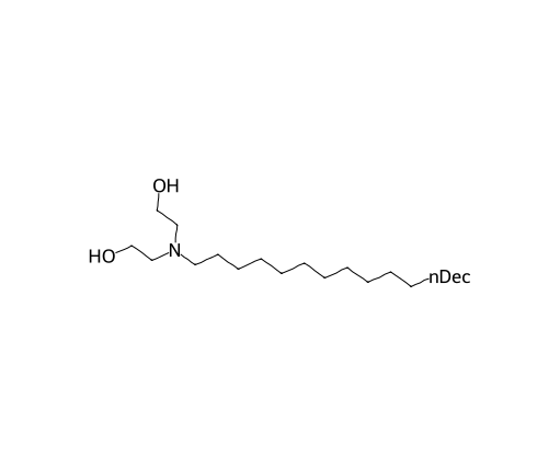 CCCCCCCCCCCCCCCCCCCCCN(CCO)CCO